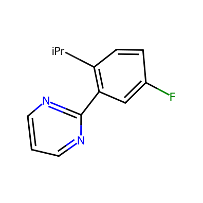 CC(C)c1ccc(F)cc1-c1ncccn1